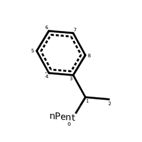 CCCCCC(C)c1[c]cccc1